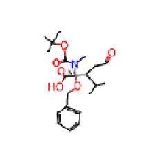 CC(C)C(CC=O)[C@](OCc1ccccc1)(C(=O)O)N(C)C(=O)OC(C)(C)C